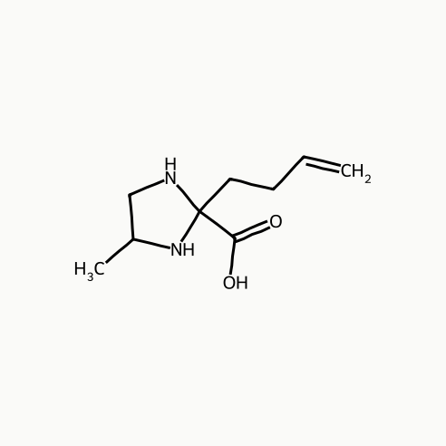 C=CCCC1(C(=O)O)NCC(C)N1